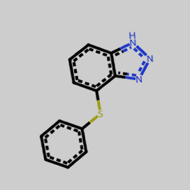 c1ccc(Sc2cccc3[nH]nnc23)cc1